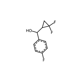 OC(c1ccc(F)cc1)C1CC1(F)F